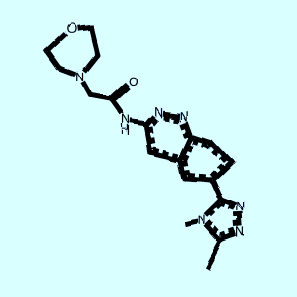 Cc1nnc(-c2ccc3nnc(NC(=O)CN4CCOCC4)cc3c2)n1C